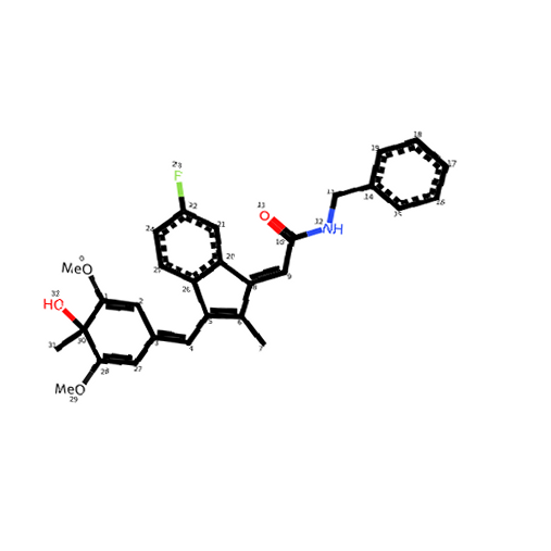 COC1=CC(=CC2=C(C)/C(=C/C(=O)NCc3ccccc3)c3cc(F)ccc32)C=C(OC)C1(C)O